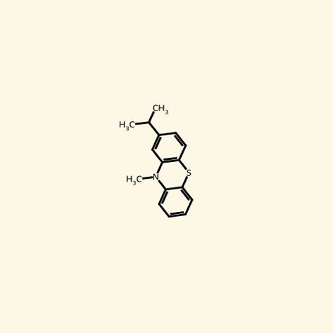 CC(C)c1ccc2c(c1)N(C)c1ccccc1S2